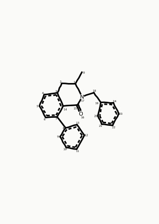 CC1Cc2cccc(-c3ccccc3)c2C(=O)N1Cc1ccccc1